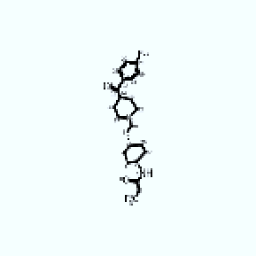 O=C(CC(F)(F)F)N[C@H]1CC[C@H](CCN2CCC(C(=O)c3ccc(F)cc3)CC2)CC1